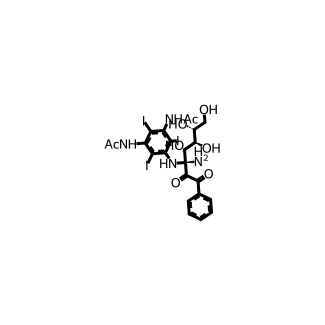 CC(=O)Nc1c(I)c(NC(C)=O)c(I)c(N[C@@](N)(C(=O)C(=O)c2ccccc2)[C@@H](O)[C@H](O)[C@H](O)CO)c1I